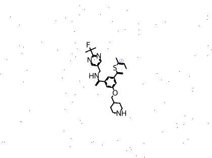 C=C(NCc1cnc(C(C)(C)F)nc1)c1cc(OCC2CCNCC2)cc(C(=C)S/C(C)=C\C)c1